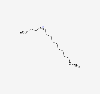 CCCCCCCCCC/C=C\CCCCCCCCON